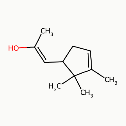 CC1=CCC(/C=C(\C)O)C1(C)C